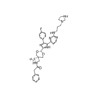 CC1(CNC(=O)Cc2ccccc2)COC(c2nc(-c3ccc(F)cc3)c(-c3ccnc(NCCCN4CCNC4)n3)[nH]2)OC1